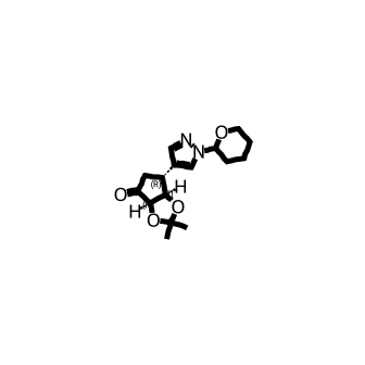 CC1(C)O[C@@H]2[C@@H](c3cnn(C4CCCCO4)c3)CC(=O)[C@@H]2O1